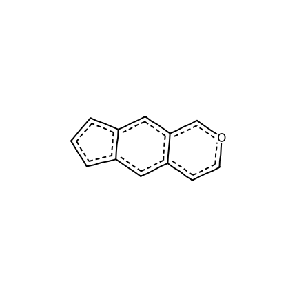 c1cc2cc3ccocc3cc2c1